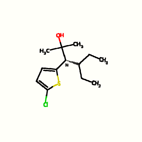 CCC(CC)[C@H](c1ccc(Cl)s1)C(C)(C)O